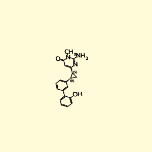 Cn1c(N)nc([C@H]2C[C@H]2c2cccc(-c3ccccc3O)c2)cc1=O